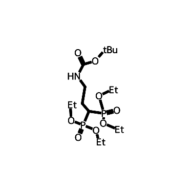 CCOP(=O)(OCC)C(CCNC(=O)OC(C)(C)C)P(=O)(OCC)OCC